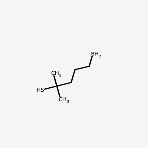 BCCCC(C)(C)S